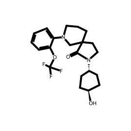 O=C1N([C@H]2CC[C@H](O)CC2)CCC12CCCN(c1ccccc1OC(F)(F)F)C2